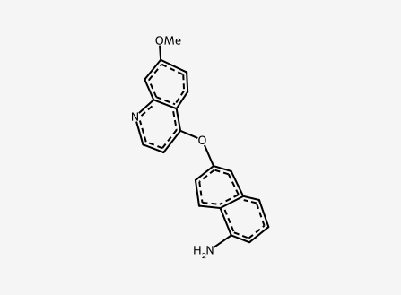 COc1ccc2c(Oc3ccc4c(N)cccc4c3)ccnc2c1